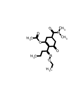 CCCC(=NOCC)C1=C(OC(C)=O)CC(C(=O)N(C)C)CC1=O